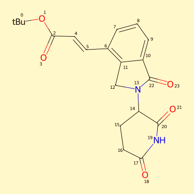 CC(C)(C)OC(=O)/C=C/c1cccc2c1CN(C1CCC(=O)NC1=O)C2=O